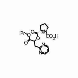 CC(C)OC(=O)C(Cc1ncccn1)OC(=O)[C@@H]1CCCN1C(=O)O